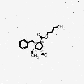 C=C[C@H]1[C@@H](C=O)C[C@H](C(=O)OCCCC)N1Cc1ccccc1